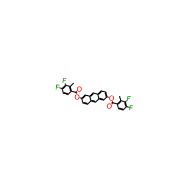 Cc1c(C(=O)Oc2ccc3cc4cc(OC(=O)c5ccc(F)c(F)c5C)ccc4cc3c2)ccc(F)c1F